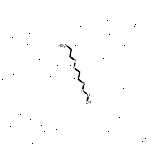 O=S(=O)(O)CCSSCCSOOO